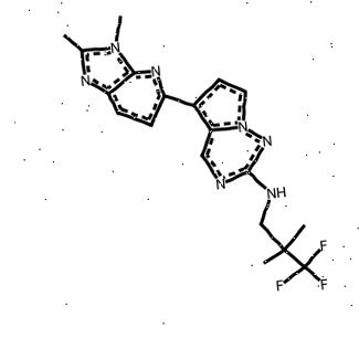 Cc1nc2ccc(-c3ccn4nc(NCC(C)(C)C(F)(F)F)ncc34)nc2n1C